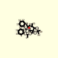 CC(=O)OC1(O[Si](c2ccccc2)(c2ccccc2)C(C)(C)C)SC(C)C2OC(C)(C)OC21C